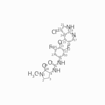 CN1CCC(NC(=O)Nc2cc(F)c(Oc3ccnc4[nH]cc(Cl)c34)c(F)c2)C1=O